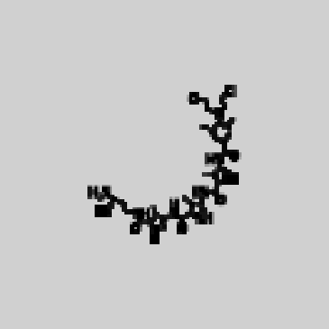 Cc1cc(C(=O)Nc2c[nH]c(C(=O)Nc3c[nH]c(C(=O)Nc4c[nH]c(C(=O)NCCC(=N)N)c4C)c3C)c2C)cc(C)c1N(CCCl)CCCl